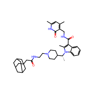 Cc1cc(C)c(CNC(=O)c2c(C)n([C@H](C)C3CCN(CCNC(=O)CC45CC6CC(CC(C6)C4)C5)CC3)c3ccccc23)c(=O)[nH]1